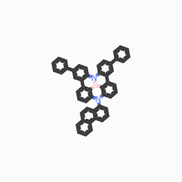 c1ccc(-c2ccc3c(c2)-c2cccc4c2B2c5c(cccc5N4c4cccc5c4ccc4ccccc45)-c4cc(-c5ccccc5)ccc4N23)cc1